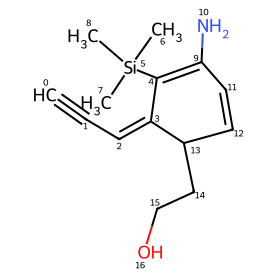 C#CC=C1C([Si](C)(C)C)=C(N)C=CC1CCO